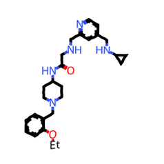 CCOc1ccccc1CN1CCC(NC(=O)CNCc2cc(CNC3CC3)ccn2)CC1